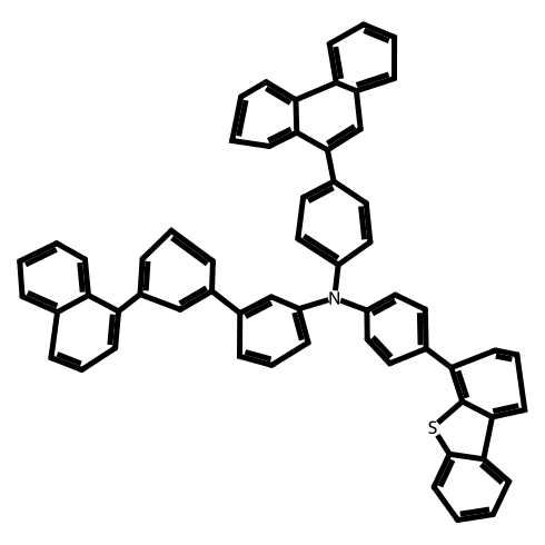 c1cc(-c2cccc(N(c3ccc(-c4cc5ccccc5c5ccccc45)cc3)c3ccc(-c4cccc5c4sc4ccccc45)cc3)c2)cc(-c2cccc3ccccc23)c1